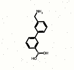 NCc1cccc(-c2cccc(B(O)O)c2)c1